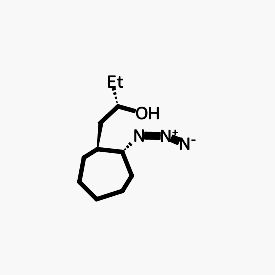 CC[C@H](O)C[C@@H]1CCCCC[C@H]1N=[N+]=[N-]